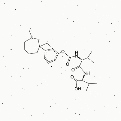 CCC1(c2cccc(OC(=O)N[C@H](C(=O)N[C@H](C(=O)O)C(C)C)C(C)C)c2)CCCCN(C)C1